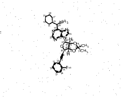 CC1(C)O[C@@H]2[C@H](O1)[C@@H](C#Cc1ccccc1F)O[C@H]2n1cnc2c(C(N)C3CCCCC3)ncnc21